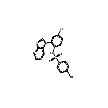 CC(C)(C)c1ccc(S(=O)(=O)Nc2ccc(Cl)cc2-n2cnc3ncncc32)cc1